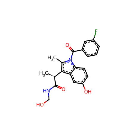 Cc1c([C@@H](C)C(=O)NCO)c2cc(O)ccc2n1C(=O)c1cccc(F)c1